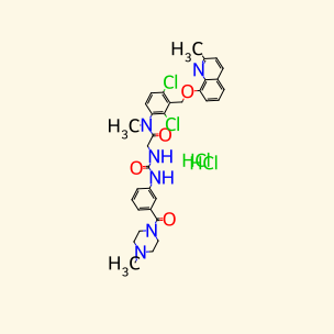 Cc1ccc2cccc(OCc3c(Cl)ccc(N(C)C(=O)CNC(=O)Nc4cccc(C(=O)N5CCN(C)CC5)c4)c3Cl)c2n1.Cl.Cl